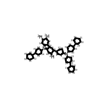 [2H]c1cc2c3cc(-c4ccc(N(c5ccc(-c6ccccc6)cc5)c5ccc(-c6ccccc6)cc5)cc4)c([2H])cc3n(-c3ccc(-c4ccccc4)cc3)c2cc1[2H]